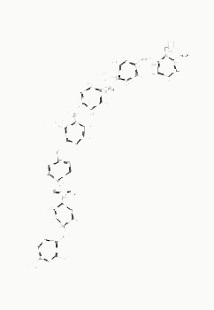 Cc1cc(Br)ccc1Oc1ccc(S(=O)(=O)c2ccc(Oc3cccc(Oc4ccc(S(=O)(=O)c5ccc(Oc6cccc(Br)c6C)cc5)cc4)c3C)cc2)cc1